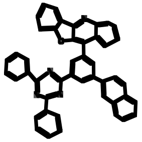 c1ccc(-c2nc(-c3ccccc3)nc(-c3cc(-c4ccc5ccccc5c4)cc(-c4c5ccccc5nc5c4oc4ccccc45)c3)n2)cc1